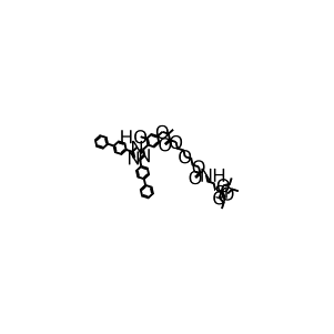 CCO[Si](CCCNC(=O)OCCOCCOC(=O)C(C)Oc1ccc(-c2nc(-c3ccc(-c4ccccc4)cc3)nc(-c3ccc(-c4ccccc4)cc3)n2)c(O)c1)(OCC)OCC